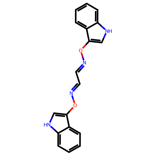 C(/C=N/Oc1c[nH]c2ccccc12)=N\Oc1c[nH]c2ccccc12